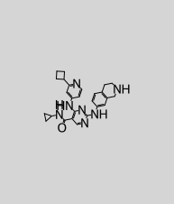 O=C(NC1CC1)c1cnc(Nc2ccc3c(c2)CNCC3)nc1Nc1ccnc(C2CCC2)c1